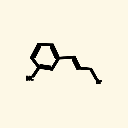 N#Cc1cccc(C=CCBr)c1